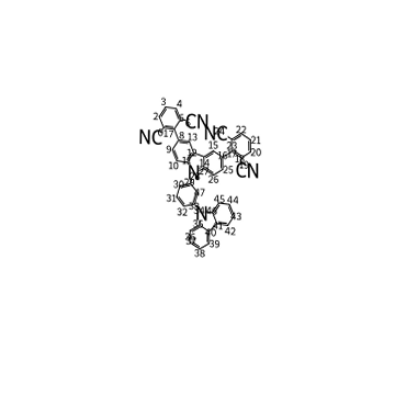 N#Cc1cccc(C#N)c1-c1ccc2c(c1)c1cc(-c3c(C#N)cccc3C#N)ccc1n2-c1cccc(-n2c3ccccc3c3ccccc32)c1